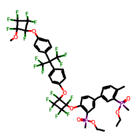 CCOP(C)(=O)c1cc(-c2ccc(OC3(F)C(F)(F)C(F)(F)C3(F)Oc3ccc(C(c4ccc(OC5(F)C(F)(F)C(F)(F)C5(F)OC)cc4)(C(F)(F)F)C(F)(F)F)cc3)c(P(C)(=O)OCC)c2)ccc1C